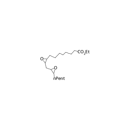 CCCCCC1OC1CC1OC1CCCCCCCC(=O)OCC